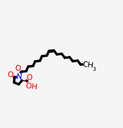 CCCCCCCC/C=C\CCCCCCCC(=O)N1C(=O)CC[C@@H]1C(=O)O